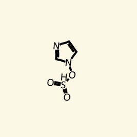 O=[SH](=O)On1ccnc1